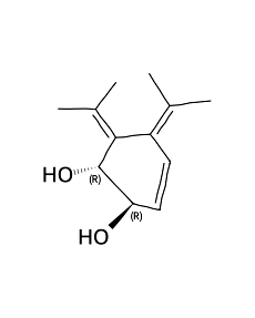 CC(C)=C1C=C[C@@H](O)[C@H](O)C1=C(C)C